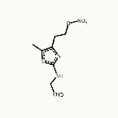 Cc1nc(NCC=O)sc1CCO[N+](=O)[O-]